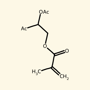 C=C(C)C(=O)OCC(OC(C)=O)C(C)=O